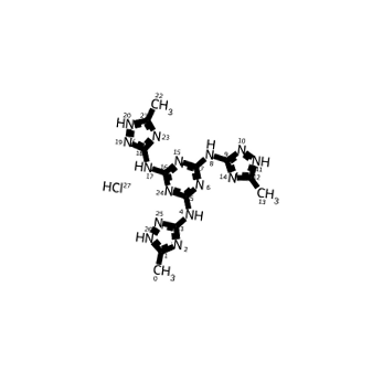 Cc1nc(Nc2nc(Nc3n[nH]c(C)n3)nc(Nc3n[nH]c(C)n3)n2)n[nH]1.Cl